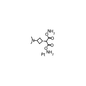 CN(C)[C@H]1C[C@@H](C(C(=O)ON)C(=O)ON)C1.[Pt]